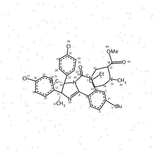 CCOc1cc(C(C)(C)C)ccc1C1=N[C@@](C)(c2ccc(Cl)cc2)[C@@](C)(c2ccc(Cl)cc2)N1C(=O)N1CCN(C)C(C(=O)OC)C1